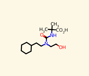 CC(C)(NC(=O)N(CCO)CCC1CCCCC1)C(=O)O